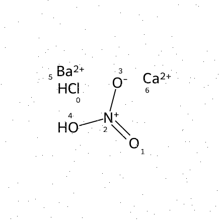 Cl.O=[N+]([O-])O.[Ba+2].[Ca+2]